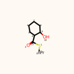 CCCSC(=O)C1CCCCC1O